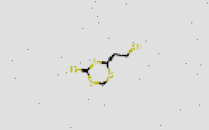 SCCC1SCSC(S)S1